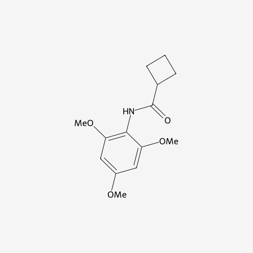 COc1cc(OC)c(NC(=O)C2CCC2)c(OC)c1